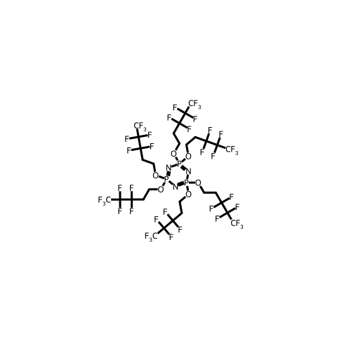 FC(F)(F)C(F)(F)C(F)(F)CCOP1(OCCC(F)(F)C(F)(F)C(F)(F)F)=NP(OCCC(F)(F)C(F)(F)C(F)(F)F)(OCCC(F)(F)C(F)(F)C(F)(F)F)=NP(OCCC(F)(F)C(F)(F)C(F)(F)F)(OCCC(F)(F)C(F)(F)C(F)(F)F)=N1